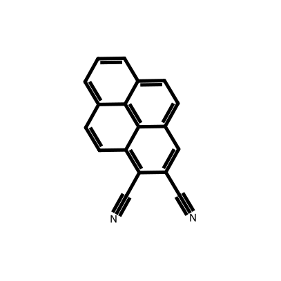 N#Cc1cc2ccc3cccc4ccc(c1C#N)c2c34